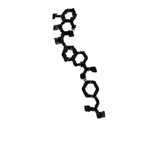 O=C(O)C[C@H]1CC[C@H](OC(=O)N2CCc3cc(NC(=O)Nc4c(F)cccc4F)ccc3C2)CC1